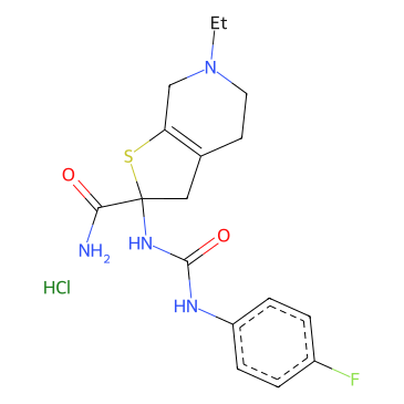 CCN1CCC2=C(C1)SC(NC(=O)Nc1ccc(F)cc1)(C(N)=O)C2.Cl